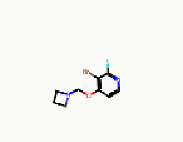 Fc1nccc(OCN2CCC2)c1Br